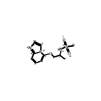 CC(COc1cccc2nccn12)NS(C)(=O)=O